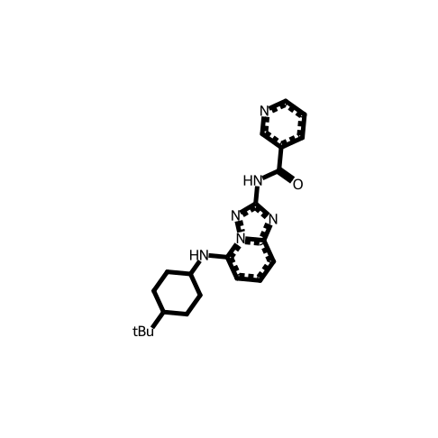 CC(C)(C)C1CCC(Nc2cccc3nc(NC(=O)c4cccnc4)nn23)CC1